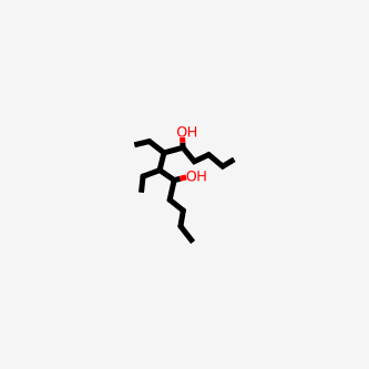 CCCCC(O)C(CC)C(CC)C(O)CCCC